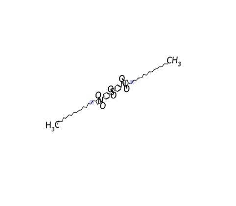 CCCCCCCCCCCCCC/C=C/C1CC(=O)N(c2ccc(S(=O)(=O)c3ccc(N4C(=O)CC(/C=C/CCCCCCCCCCCCCC)C4=O)cc3)cc2)C1=O